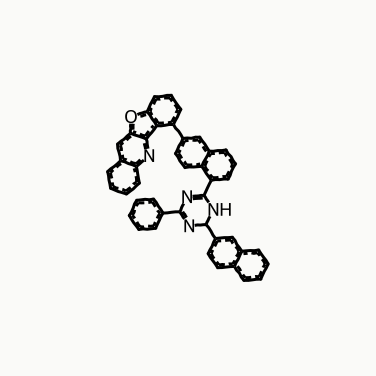 c1ccc(C2=NC(c3ccc4ccccc4c3)NC(c3cccc4cc(-c5cccc6oc7cc8ccccc8nc7c56)ccc34)=N2)cc1